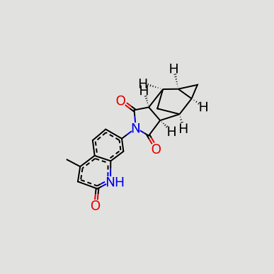 Cc1cc(=O)[nH]c2cc(N3C(=O)[C@@H]4[C@H]5C[C@H]([C@H]6C[C@H]65)[C@@H]4C3=O)ccc12